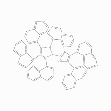 c1ccc2c(C3=C(c4cccc5ccccc45)N(c4cccc5ccccc45)C(c4nc(-c5cccc6ccccc56)c(-c5cccc6ccccc56)[nH]4)N3c3cccc4ccccc34)cccc2c1